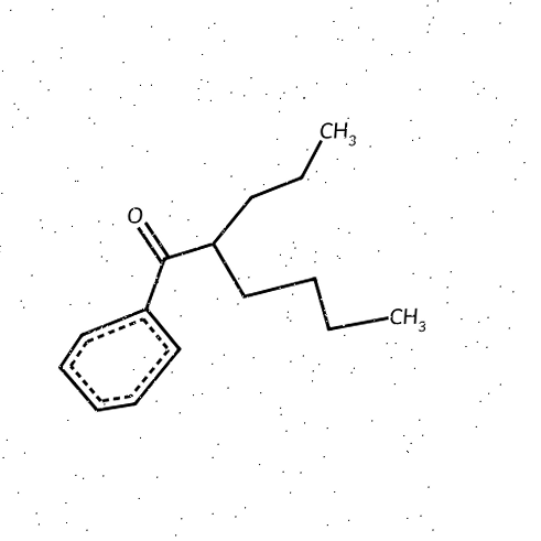 CCCCC(CCC)C(=O)c1ccccc1